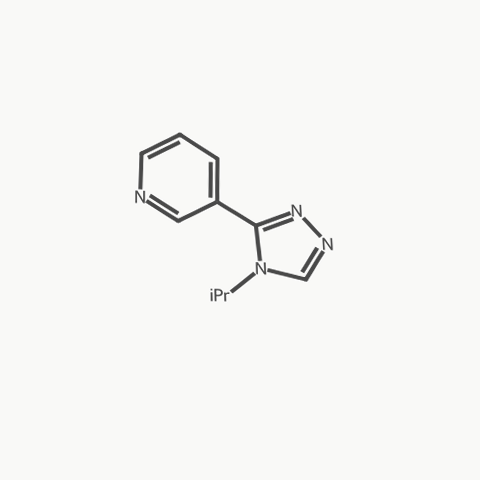 CC(C)n1cnnc1-c1cccnc1